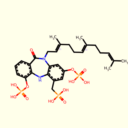 CC(C)=CCC/C(C)=C/CC/C(C)=C/CN1C(=O)c2cccc(OP(=O)(O)O)c2Nc2c(CP(=O)(O)O)cc(OP(=O)(O)O)cc21